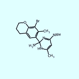 CNC1=NC(N)(c2cc3c(c(Br)c2C)OCCC3)NC(C)=C1